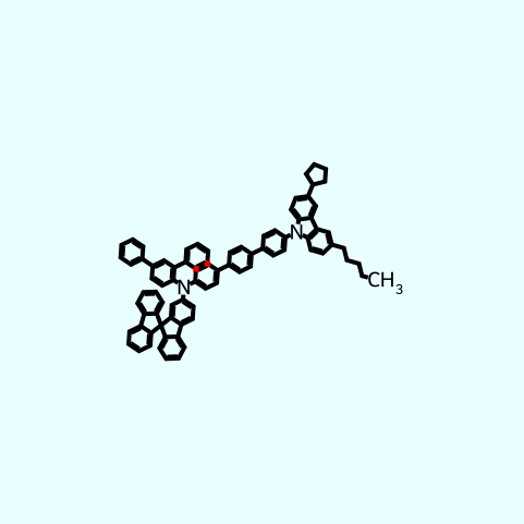 CCCCCc1ccc2c(c1)c1cc(C3CCCC3)ccc1n2-c1ccc(-c2ccc(-c3ccc(N(c4ccc5c(c4)C4(c6ccccc6-c6ccccc64)c4ccccc4-5)c4ccc(-c5ccccc5)cc4-c4ccccc4)cc3)cc2)cc1